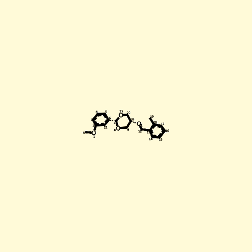 COc1cccc([C@H]2OC[C@@H](OCc3ccccc3C)CO2)c1